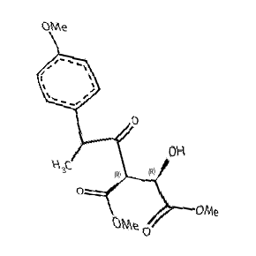 COC(=O)[C@@H](C(=O)C(C)c1ccc(OC)cc1)[C@@H](O)C(=O)OC